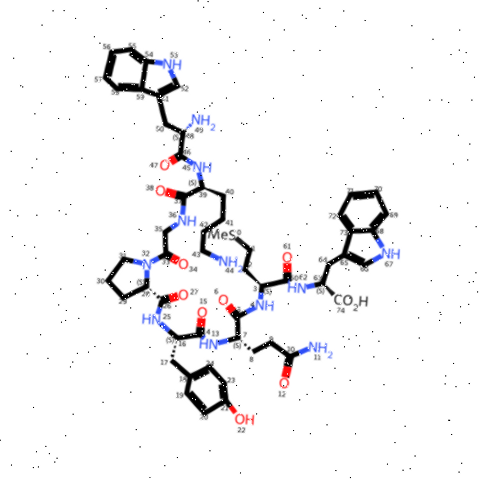 CSCC[C@H](NC(=O)[C@H](CCC(N)=O)NC(=O)[C@H](Cc1ccc(O)cc1)NC(=O)[C@@H]1CCCN1C(=O)CNC(=O)[C@H](CCCCN)NC(=O)[C@@H](N)Cc1c[nH]c2ccccc12)C(=O)N[C@@H](Cc1c[nH]c2ccccc12)C(=O)O